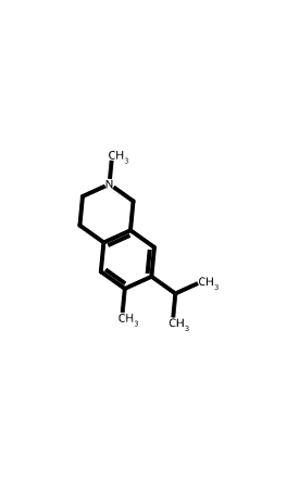 Cc1cc2c(cc1C(C)C)CN(C)CC2